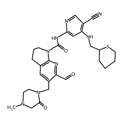 CN1CCN(Cc2cc3c(nc2C=O)N(C(=O)Nc2cc(NCC4CCCCS4)c(C#N)cn2)CCC3)C(=O)C1